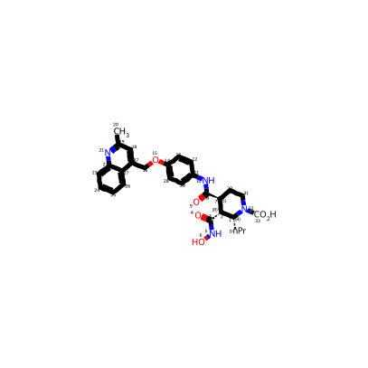 CCC[C@@H]1[C@H](C(=O)NO)[C@@H](C(=O)Nc2ccc(OCc3cc(C)nc4ccccc34)cc2)CCN1C(=O)O